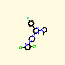 CC1CCCN1c1nc(-c2ccc(F)cc2)cc(N2CCN(c3nc(Cl)ccc3Cl)C[C@H]2C)n1